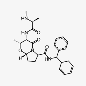 CN[C@@H](C)C(=O)N[C@@H]1C(=O)N2C(C(=O)NC(c3ccccc3)C3C=CC=CC3)CC[C@@H]2O[C@@H]1C